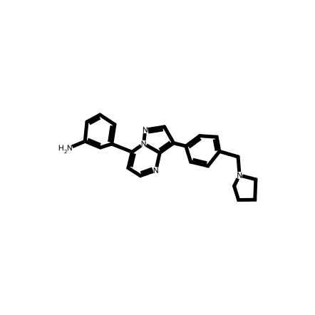 Nc1cccc(-c2ccnc3c(-c4ccc(CN5CCCC5)cc4)cnn23)c1